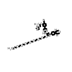 COCCOCCOCCOCCOCCOCCOCCOCCOc1nn([C@H]2CC[C@H](N3[C@@H]4CC[C@H]3COC4)CC2)cc1Nc1ncc(-c2ccc(C#N)c(O[C@@H](C)Cn3cncn3)c2)cn1